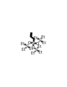 C=CC[Si](O[Si](CC)(CC)CC)(O[Si](CC)(CC)CC)O[Si](CC)(CC)CC